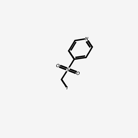 O=S(=O)(CI)c1ccncc1